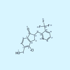 O=C1c2ccc(CO)c(Cl)c2CC1Cc1ncccc1C(F)(F)F